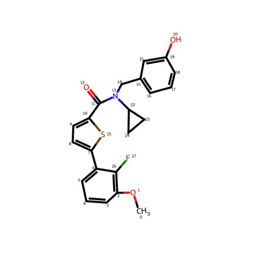 COc1cccc(-c2ccc(C(=O)N(Cc3cccc(O)c3)C3CC3)s2)c1F